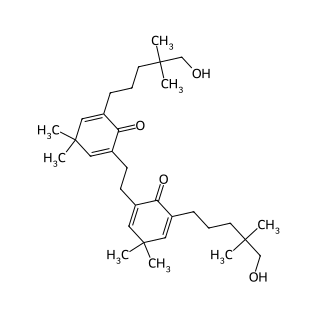 CC1(C)C=C(CCCC(C)(C)CO)C(=O)C(CCC2=CC(C)(C)C=C(CCCC(C)(C)CO)C2=O)=C1